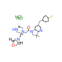 C[C@@H]1CN(CC(=O)N2CC(C)(C)c3ncc(Cc4ccc(F)cc4)cc32)[C@@H](CN2C[C@@H]3C[C@H]2CO3)CN1.Cl.Cl